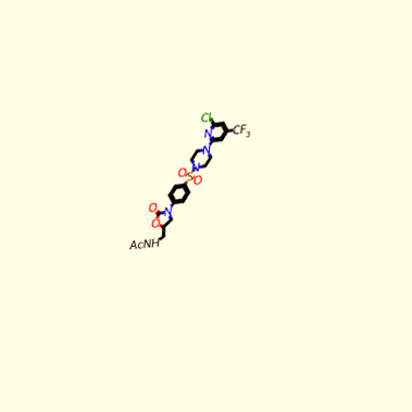 CC(=O)NCC1CN(c2ccc(S(=O)(=O)N3CCN(c4cc(C(F)(F)F)cc(Cl)n4)CC3)cc2)C(=O)O1